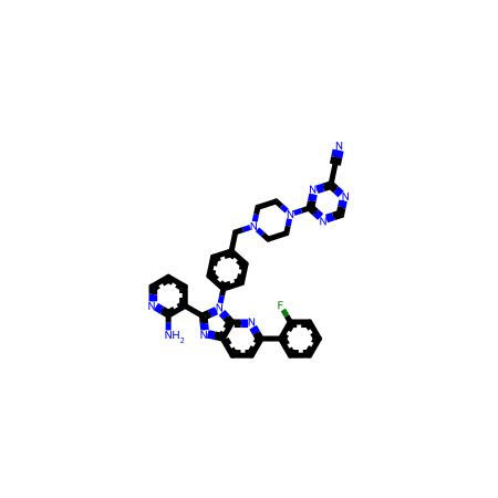 N#Cc1ncnc(N2CCN(Cc3ccc(-n4c(-c5cccnc5N)nc5ccc(-c6ccccc6F)nc54)cc3)CC2)n1